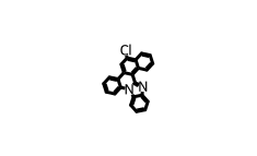 Clc1cc2c3ccccc3n3c4ccccc4nc3c2c2ccccc12